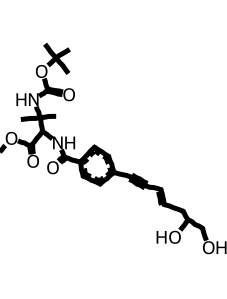 COC(=O)C(NC(=O)c1ccc(C#C/C=C/CC(O)CO)cc1)C(C)(C)NC(=O)OC(C)(C)C